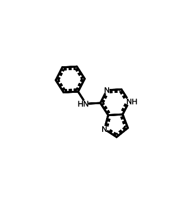 c1ccc(Nc2nc[nH]c3ccnc2-3)cc1